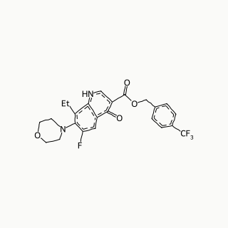 CCc1c(N2CCOCC2)c(F)cc2c(=O)c(C(=O)OCc3ccc(C(F)(F)F)cc3)c[nH]c12